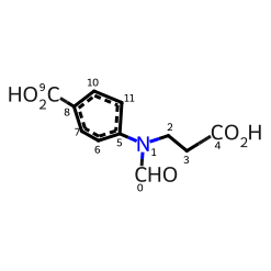 O=CN(CCC(=O)O)c1ccc(C(=O)O)cc1